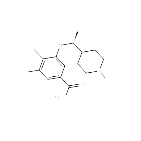 COC(=O)c1cc(C)c(Cl)c(N[C@@H](C)C2CCN(C(=O)O)CC2)c1